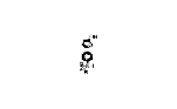 CS(=O)(=O)Nc1ccc([C@@H]2CCC(O)O2)cc1